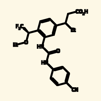 CCO[C@H](c1ccc(C(CC)CC(=O)O)cc1NC(=O)Nc1ccc(C#N)cc1)C(F)(F)F